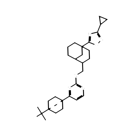 CC(C)(O)C12CCC(c3ccnc(NCC4CCC5(c6nc(C7CC7)no6)CCCC4C5)n3)(CC1)CC2